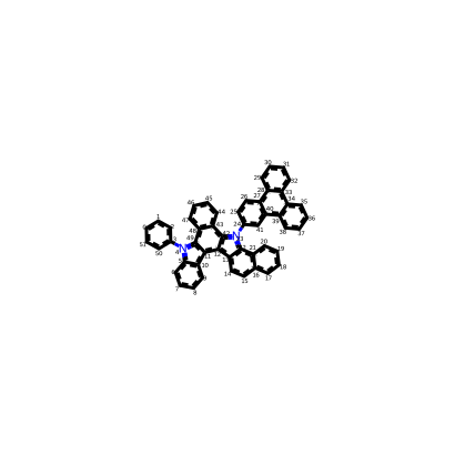 c1ccc(-n2c3ccccc3c3c4c5ccc6ccccc6c5n(-c5ccc6c7ccccc7c7ccccc7c6c5)c4c4ccccc4c32)cc1